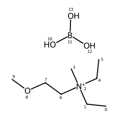 CC[N+](C)(CC)CCOC.OB(O)O